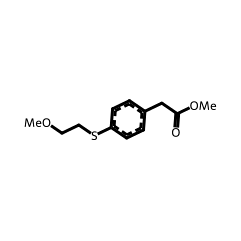 COCCSc1ccc(CC(=O)OC)cc1